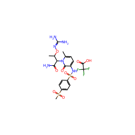 Cc1ccc(NS(=O)(=O)c2ccc(S(C)(=O)=O)cc2)c(=O)n1C(C(N)=O)C(C)ON=C(N)N.O=C(O)C(F)(F)F